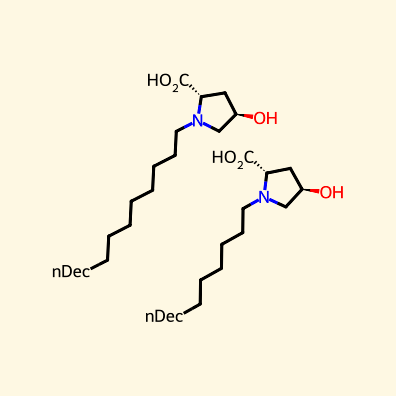 CCCCCCCCCCCCCCCCCCN1C[C@H](O)C[C@H]1C(=O)O.CCCCCCCCCCCCCCCCN1C[C@H](O)C[C@H]1C(=O)O